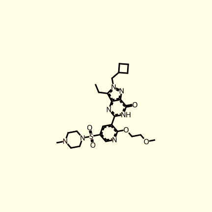 CCc1c2nc(-c3cc(S(=O)(=O)N4CCN(C)CC4)cnc3OCCOC)[nH]c(=O)c2nn1CC1CCC1